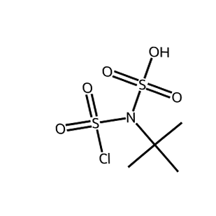 CC(C)(C)N(S(=O)(=O)O)S(=O)(=O)Cl